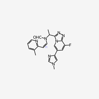 Cc1cccnc1/C=C\N(C=O)C(C)c1nnc2c(F)cc(-c3cn(C)cn3)cn12